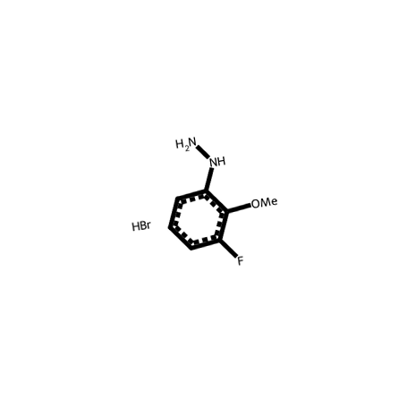 Br.COc1c(F)cccc1NN